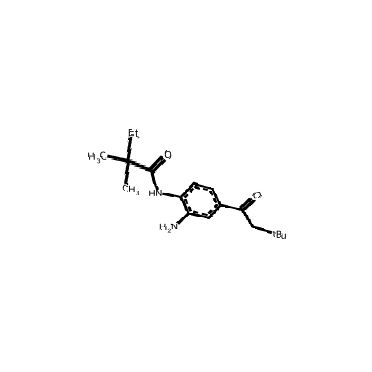 CCC(C)(C)C(=O)Nc1ccc(C(=O)CC(C)(C)C)cc1N